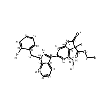 CCOC(=O)C1(C)C(=O)Nc2nc(-c3nn(Cc4ccccc4F)c4ncccc34)nc(NI)c21